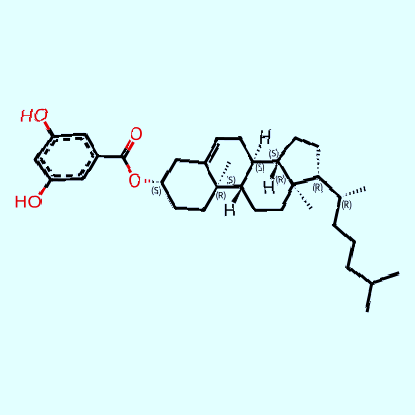 CC(C)CCC[C@@H](C)[C@H]1CC[C@H]2[C@@H]3CC=C4C[C@@H](OC(=O)c5cc(O)cc(O)c5)CC[C@]4(C)[C@H]3CC[C@]12C